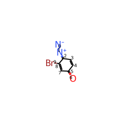 [N-]=[N+]=C1C=CC(=O)C=C1Br